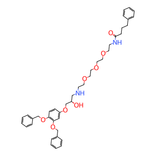 O=C(CCCc1ccccc1)NCCOCCOCCOCCNC[C@@H](O)COc1ccc(OCc2ccccc2)c(OCc2ccccc2)c1